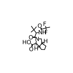 CC(F)(F)C(=O)NC(C(=O)N1C[C@@H]2CCC[C@@H]2[C@H]1C(=O)O)C(C)(C)C